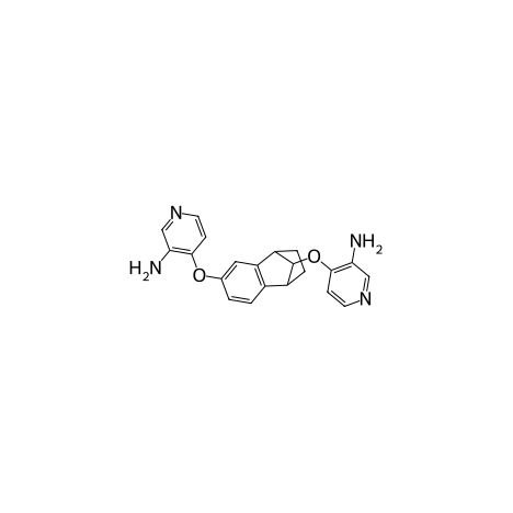 Nc1cnccc1Oc1ccc2c(c1)C1CCC2C1Oc1ccncc1N